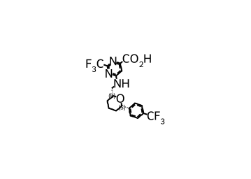 O=C(O)c1cc(NC[C@H]2CCC[C@@H](c3ccc(C(F)(F)F)cc3)O2)nc(C(F)(F)F)n1